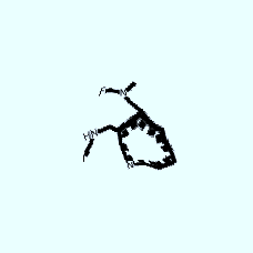 CN(F)c1cccnc1NI